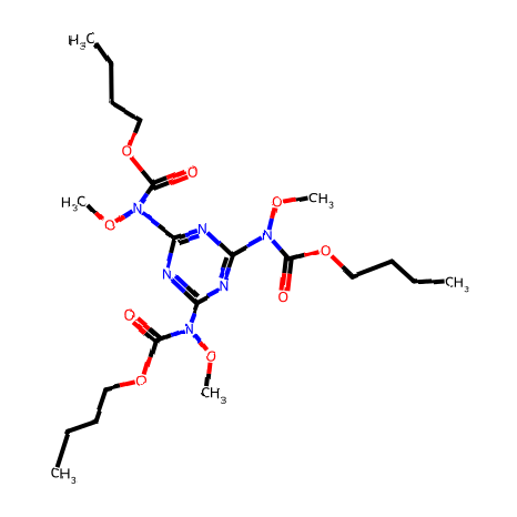 CCCCOC(=O)N(OC)c1nc(N(OC)C(=O)OCCCC)nc(N(OC)C(=O)OCCCC)n1